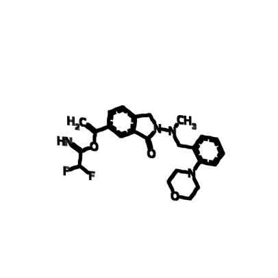 C=C(OC(=N)C(F)F)c1ccc2c(c1)C(=O)N(N(C)Cc1ccccc1N1CCOCC1)C2